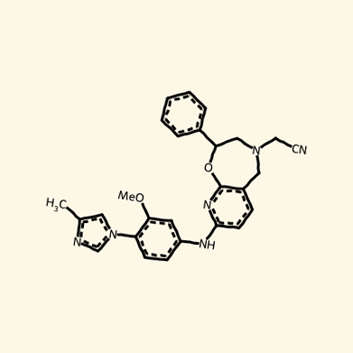 COc1cc(Nc2ccc3c(n2)OC(c2ccccc2)CN(CC#N)C3)ccc1-n1cnc(C)c1